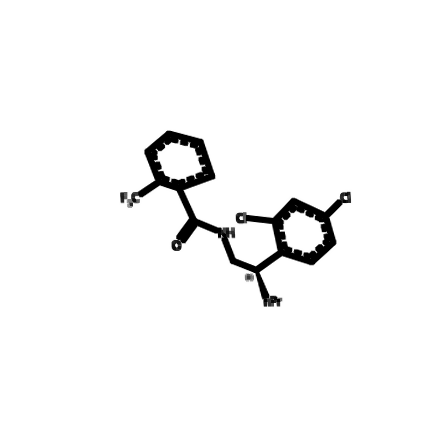 CCC[C@@H](CNC(=O)c1ccccc1C(F)(F)F)c1ccc(Cl)cc1Cl